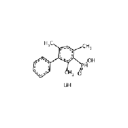 Cc1cc(C)c([PH](=O)O)c(C)c1-c1ccccc1.[LiH]